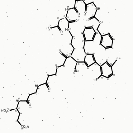 C[C@H](NC(=O)OCc1ccccc1)C(=O)N[C@@H](C)C(=O)N[C@@H](CC(N)=O)C(=O)NCCCN(C(=O)CSCCC(=O)NCCC(=O)N[C@@H](CCC(=O)O)C(=O)O)[C@@H](c1cc(-c2cc(F)ccc2F)cn1Cc1ccccc1)C(C)(C)C